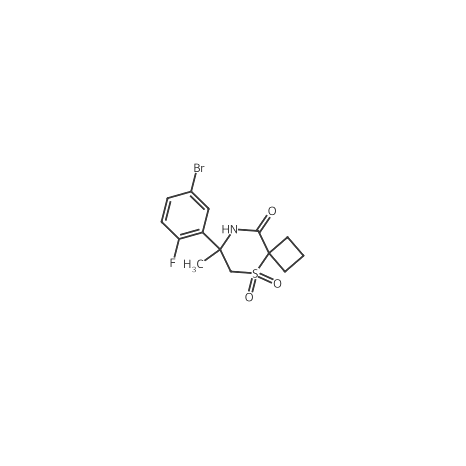 CC1(c2cc(Br)ccc2F)CS(=O)(=O)C2(CCC2)C(=O)N1